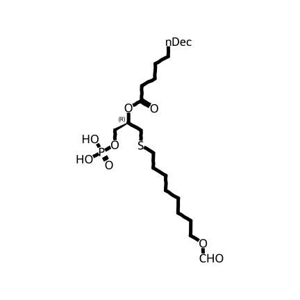 CCCCCCCCCCCCCCC(=O)O[C@H](COP(=O)(O)O)CSCCCCCCCCOC=O